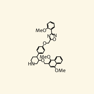 COc1ccccc1-c1noc(COc2ccc(C3CCNCC3OCc3cc(OC)c4ccccc4c3OC)cc2)n1